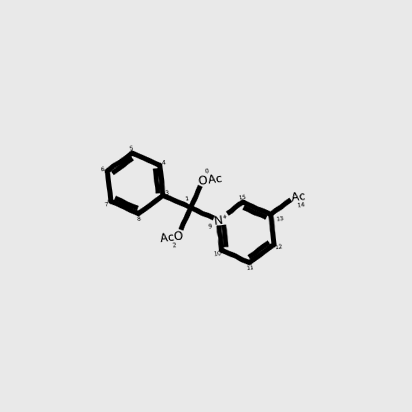 CC(=O)OC(OC(C)=O)(c1cc[c]cc1)[n+]1cccc(C(C)=O)c1